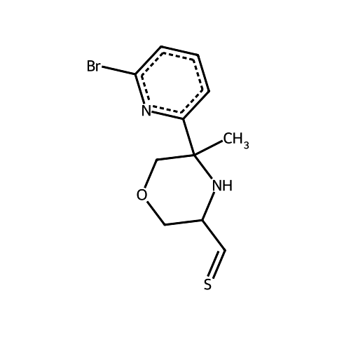 CC1(c2cccc(Br)n2)COCC(C=S)N1